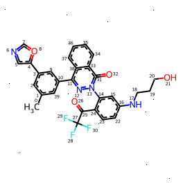 Cc1cc(-c2cnco2)cc(-c2nn(-c3cc(NCCCO)ccc3C(=O)C(F)(F)F)c(=O)c3ccccc23)c1